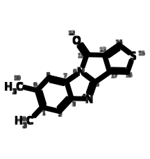 Cc1cc2nc3n(c2cc1C)C(=O)c1cscc1-3